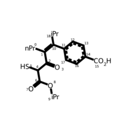 CCCC(C(=O)C(S)C(=O)OC(C)C)=C(c1ccc(C(=O)O)cc1)C(C)C